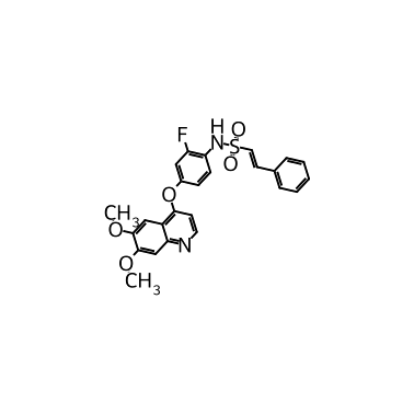 COc1cc2nccc(Oc3ccc(NS(=O)(=O)C=Cc4ccccc4)c(F)c3)c2cc1OC